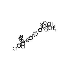 CC(C)N1C(=O)C(=O)N(c2ccc(N3CCN(c4ccc(OC[C@@H]5CO[C@@](Cn6ccnc6)(c6ccc(Cl)cc6Cl)O5)cc4)CC3)cc2)C1=O